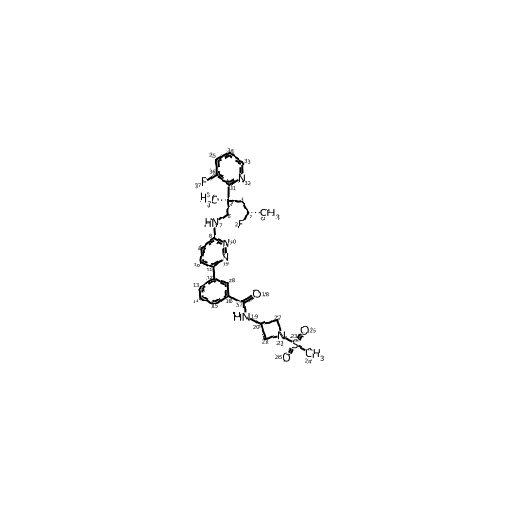 C[C@H](F)C[C@@](C)(CNc1ccc(-c2cccc(C(=O)NC3CN(S(C)(=O)=O)C3)c2)nn1)c1ncccc1F